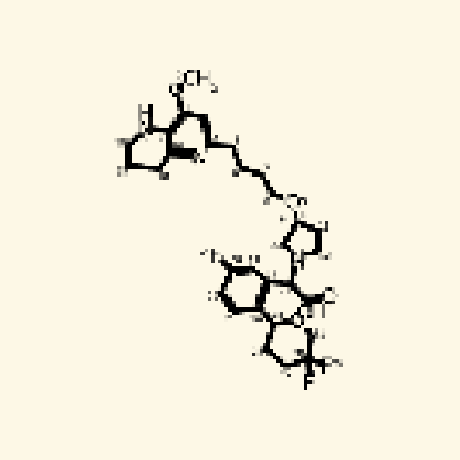 COc1cc(CCCCO[C@@H]2CCN(C(C(=O)O)c3cc(F)ccc3C3CCC(F)(F)CO3)C2)nc2c1NCCC2